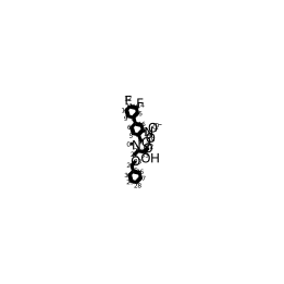 CN(C(=O)c1ccc(-c2ccc(F)c(F)c2)cc1[N+](=O)[O-])C(COCc1ccccc1)C(=O)O